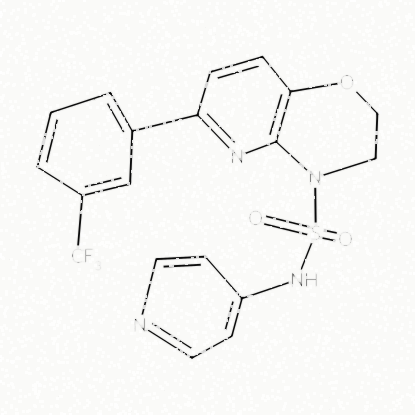 O=S(=O)(Nc1ccncc1)N1CCOc2ccc(-c3cccc(C(F)(F)F)c3)nc21